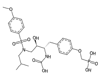 COc1ccc(S(=O)(=O)N(CC(C)C)C[C@@H](O)[C@H](Cc2ccc(OCP(=O)(O)O)cc2)NC(=O)O)cc1